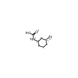 CCN1CCCC(NC(=O)C(C)C)C1